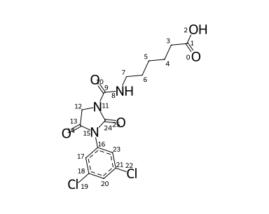 O=C(O)CCCCCNC(=O)N1CC(=O)N(c2cc(Cl)cc(Cl)c2)C1=O